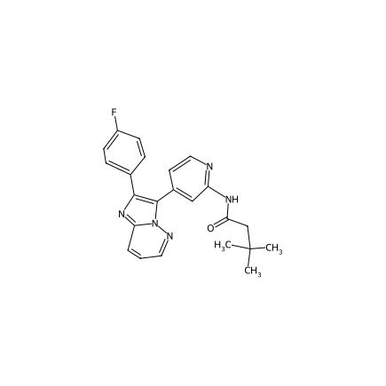 CC(C)(C)CC(=O)Nc1cc(-c2c(-c3ccc(F)cc3)nc3cccnn23)ccn1